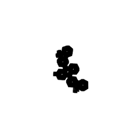 Cc1ccc2c(-c3ccc4c(c3)c3ccccc3n4C)c3ccccc3c(-c3ccc4c(c3)-c3ccccc3C4(C)C)c2c1